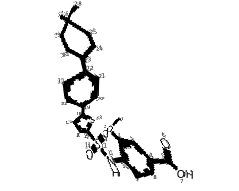 COc1cc(C(=O)O)ccc1NS(=O)(=O)c1ccc(-c2ccc(C3CCC(C)(C)CC3)cc2)s1